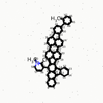 CC1=C(c2c3cc4ccccc4c4c5c(c(c34)c3c4ccc6c7ccc8c9c(ccc(c%10ccc(c23)c4c%106)c97)-c2ccc(-c3ccccc3C)cc2-8)C=CCC5)C=CCN1C